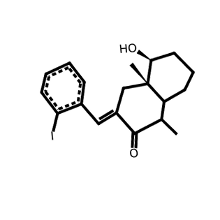 CC1C(=O)/C(=C/c2ccccc2I)C[C@@]2(C)C1CCC[C@@H]2O